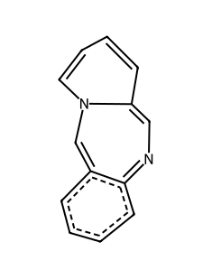 C1=CC2=CN=c3ccccc3=CN2C=C1